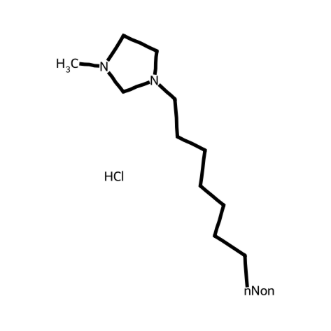 CCCCCCCCCCCCCCCCN1CCN(C)C1.Cl